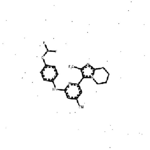 N#Cc1cc(Nc2ccc(OC(F)F)cc2)nc(-c2c(C(F)(F)F)nc3n2CCCC3)c1